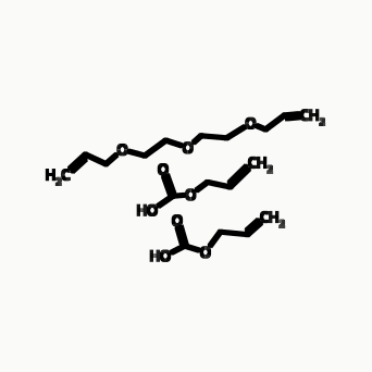 C=CCOC(=O)O.C=CCOC(=O)O.C=CCOCCOCCOCC=C